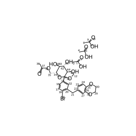 CC(=O)O.CC(=O)O.CC(=O)O.COC1(c2ccc(Br)c(Cc3ccc4c(c3)OCCO4)c2)O[C@H](COC(C)=O)[C@@H](O)[C@H](O)[C@H]1O